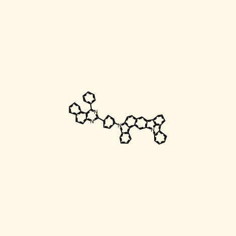 c1ccc(-c2nc(-c3ccc(-n4c5ccccc5c5c6cc7c(cc6ccc54)c4cccc5c6ccccc6n7c54)cc3)nc3ccc4ccccc4c23)cc1